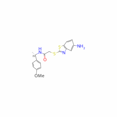 COc1ccc([C@H](C)NC(=O)CSc2nc3cc(N)ccc3s2)cc1